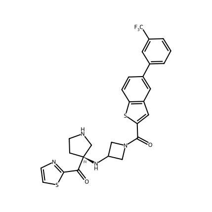 O=C(c1cc2cc(-c3cccc(C(F)(F)F)c3)ccc2s1)N1CC(N[C@@]2(C(=O)c3nccs3)CCNC2)C1